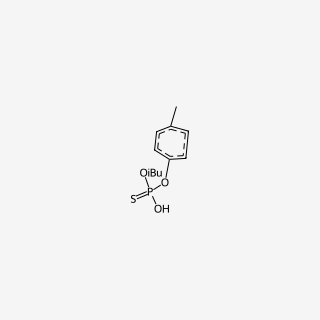 Cc1ccc(OP(O)(=S)OCC(C)C)cc1